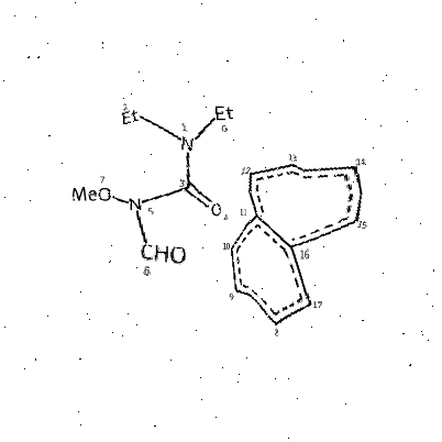 CCN(CC)C(=O)N(C=O)OC.c1ccc2ccccc2c1